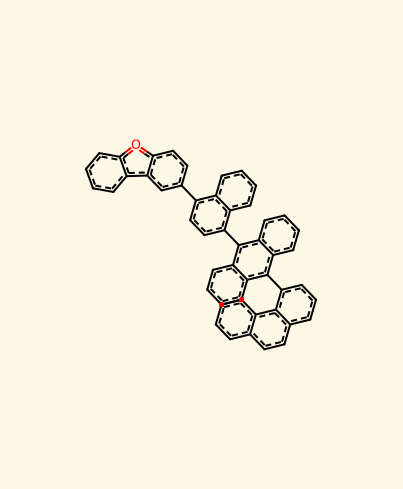 c1ccc2c(c1)ccc1cccc(-c3c4ccccc4c(-c4ccc(-c5ccc6oc7ccccc7c6c5)c5ccccc45)c4ccccc34)c12